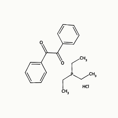 CCP(CC)CC.Cl.O=C(C(=O)c1ccccc1)c1ccccc1